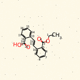 CCOC(=O)c1ccccc1C=Cc1ccccc1C(=O)O